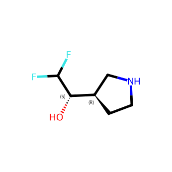 O[C@H](C(F)F)[C@@H]1CCNC1